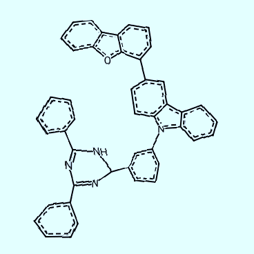 c1ccc(C2=NC(c3cccc(-n4c5ccccc5c5cc(-c6cccc7c6oc6ccccc67)ccc54)c3)NC(c3ccccc3)=N2)cc1